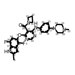 Cc1cc2c(F)c(Oc3ncnc(Nc4ccc(N5CCN(C)CC5)cc4)c3C(=O)N3CCC3)cc(F)c2[nH]1